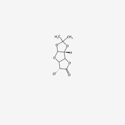 CC1(C)OC2OC3C(OC(=O)[C@@H]3Cl)[C@H]2O1